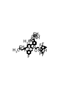 CN(C)CC#Cc1ccc(-c2cccc3c(NS(C)(=O)=O)nn(C)c23)c([C@H](Cc2cc(F)cc(F)c2)NC(=O)Cn2nc(C(F)(F)F)c3c2C(F)(F)C2C[C@H]32)n1